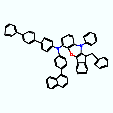 c1ccc(CC2C3=C(Oc4c(cccc4N(c4ccc(-c5ccc(-c6ccccc6)cc5)cc4)c4ccc(-c5cccc6ccccc56)cc4)N3c3ccccc3)c3ccccc32)cc1